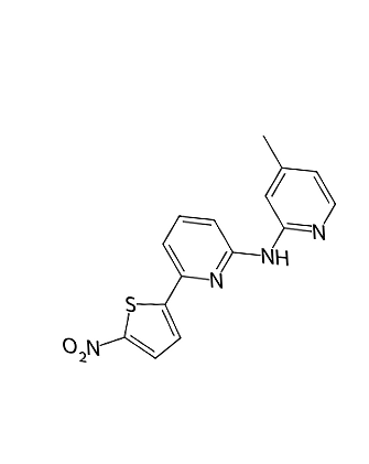 Cc1ccnc(Nc2cccc(-c3ccc([N+](=O)[O-])s3)n2)c1